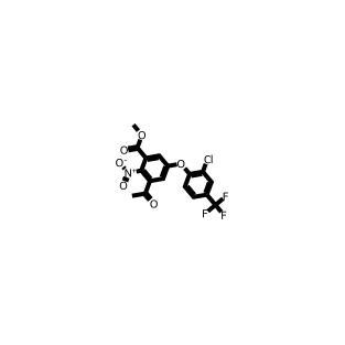 COC(=O)c1cc(Oc2ccc(C(F)(F)F)cc2Cl)cc(C(C)=O)c1[N+](=O)[O-]